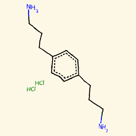 Cl.Cl.NCCCc1ccc(CCCN)cc1